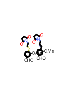 COc1cc(C=O)ccc1/C=C/CN1C(=O)CCC1=O.COc1cc(C=O)ccc1SCCN1C(=O)CCC1=O